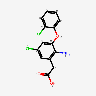 Nc1c(CC(=O)O)cc(Cl)cc1Oc1ccccc1Cl